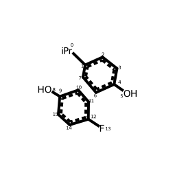 CC(C)c1ccc(O)cc1.Oc1ccc(F)cc1